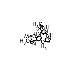 COc1c(Nc2cc(Nc3cc(C)ccn3)nc3[nH]n(C)c(=O)c23)cccc1-c1ncc(C)s1